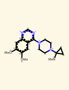 CNC1(N2CCN(c3ncnc4cc(OC)c(OC)cc34)CC2)CC1